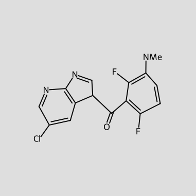 CNc1ccc(F)c(C(=O)C2C=Nc3ncc(Cl)cc32)c1F